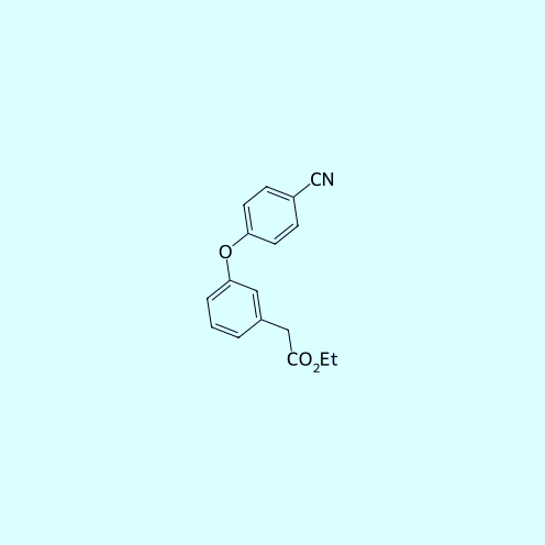 CCOC(=O)Cc1cccc(Oc2ccc(C#N)cc2)c1